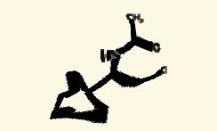 CC(=O)N[C](CCl)c1ccccc1